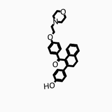 O=C(C1=C(c2ccc(O)cc2)CCc2ccccc21)c1ccc(OCCN2CCOCC2)cc1